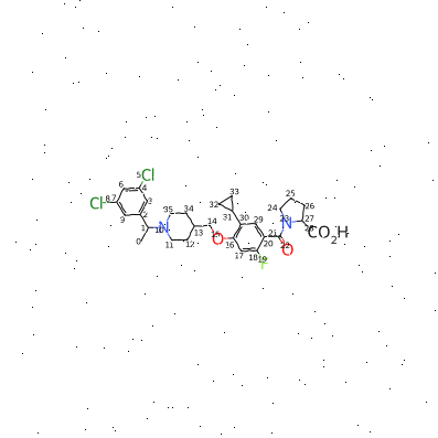 CC(c1cc(Cl)cc(Cl)c1)N1CCC(COc2cc(F)c(C(=O)N3CCCC3C(=O)O)cc2C2CC2)CC1